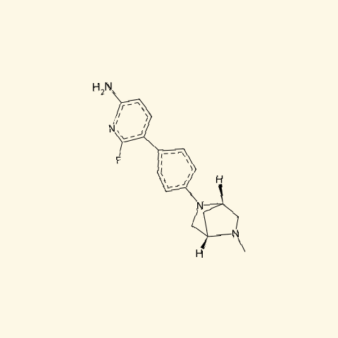 CN1C[C@@H]2C[C@H]1CN2c1ccc(-c2ccc(N)nc2F)cc1